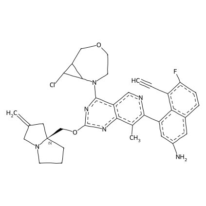 C#Cc1c(F)ccc2cc(N)cc(-c3ncc4c(N5CCOCC6C(Cl)C65)nc(OC[C@@]56CCCN5CC(=C)C6)nc4c3C)c12